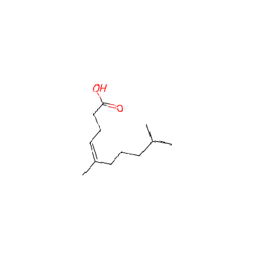 CC(=CCCC(=O)O)CCCC(C)C